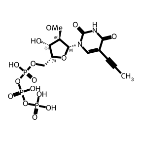 CC#Cc1cn([C@@H]2O[C@H](COP(=O)(O)OP(=O)(O)OP(=O)(O)O)[C@H](O)[C@H]2OC)c(=O)[nH]c1=O